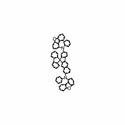 c1ccc(N(c2ccc3c(c2)C2(c4ccccc4-c4ccccc42)c2cc4cc(N(c5ccccc5)c5cccc6oc7ccccc7c56)ccc4cc2-3)c2cccc3oc4ccccc4c23)cc1